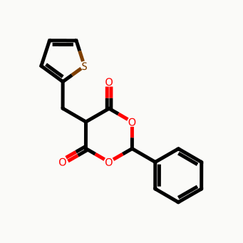 O=C1OC(c2ccccc2)OC(=O)C1Cc1cccs1